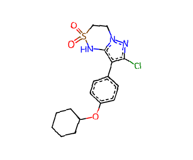 O=S1(=O)CCn2nc(Cl)c(-c3ccc(OC4CCCCC4)cc3)c2N1